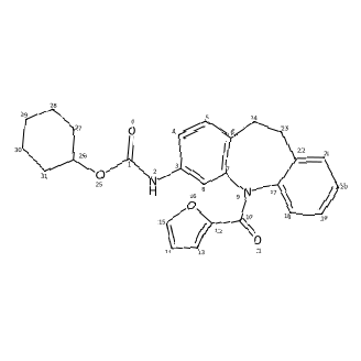 O=C(Nc1ccc2c(c1)N(C(=O)c1ccco1)c1ccccc1CC2)OC1CCCCC1